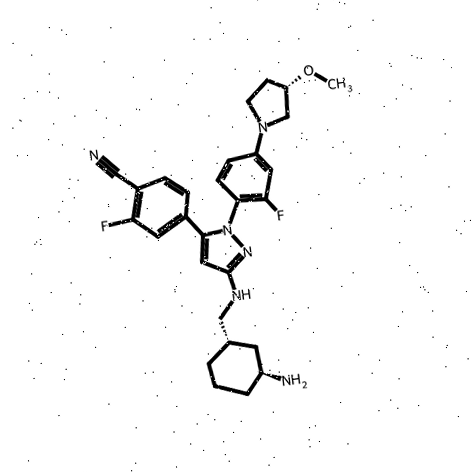 CO[C@H]1CCN(c2ccc(-n3nc(NC[C@H]4CCC[C@H](N)C4)cc3-c3ccc(C#N)c(F)c3)c(F)c2)C1